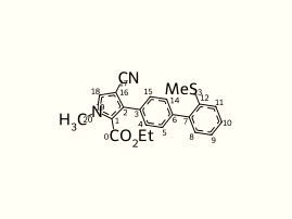 CCOC(=O)c1c(-c2ccc(-c3ccccc3SC)cc2)c(C#N)cn1C